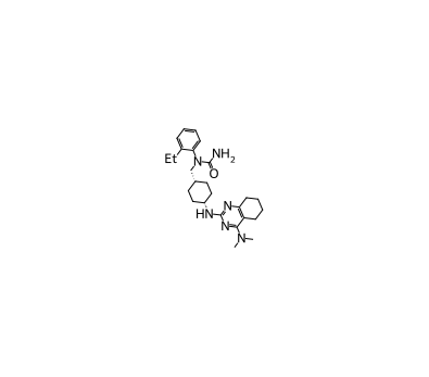 CCc1ccccc1N(C[C@H]1CC[C@@H](Nc2nc3c(c(N(C)C)n2)CCCC3)CC1)C(N)=O